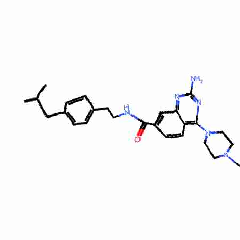 CC(C)Cc1ccc(CCNC(=O)c2ccc3c(N4CCN(C)CC4)nc(N)nc3c2)cc1